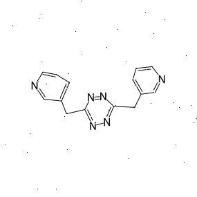 c1cncc(Cc2nnc(Cc3cccnc3)nn2)c1